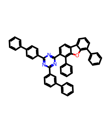 c1ccc(-c2ccc(-c3nc(-c4cccc(-c5ccccc5)c4)nc(-c4ccc5c(oc6c(-c7ccccc7)cccc65)c4-c4ccccc4)n3)cc2)cc1